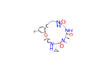 C[C@@H]1CN[C@@H](C2CC2)C(=O)N(C)[C@H](C)C(=O)NCC(=O)NCCCc2ccc(F)cc2O1